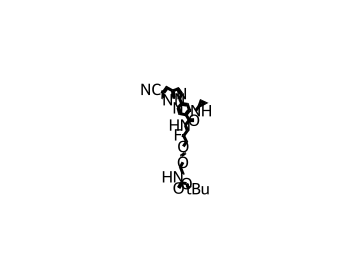 CC(C)(C)OC(=O)NCCOCCOCC(F)CNC(=O)c1cnc(-n2ncc3cc(C#N)cnc32)cc1NC1CC1